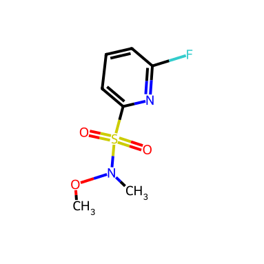 CON(C)S(=O)(=O)c1cccc(F)n1